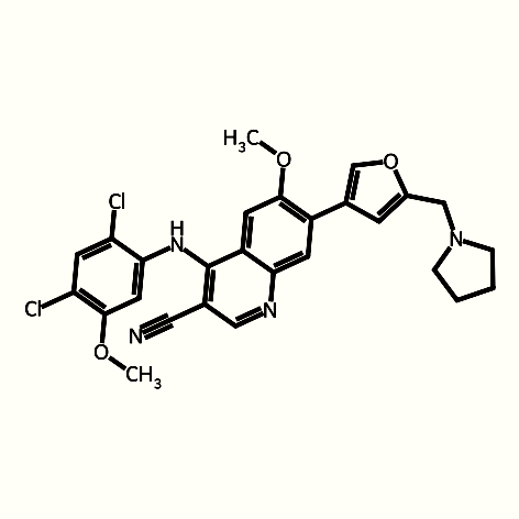 COc1cc(Nc2c(C#N)cnc3cc(-c4coc(CN5CCCC5)c4)c(OC)cc23)c(Cl)cc1Cl